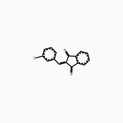 O=C1C(=Cc2cccc(Cl)c2)C(=O)c2ccccc21